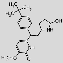 COc1ccc(C(C[C@H]2CCC(O)N2)c2ccc(C(C)(C)C)cc2)[nH]c1=O